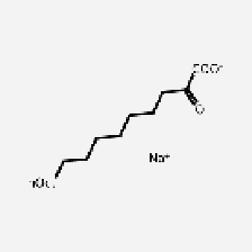 CCCCCCCCCCCCCCCC(=O)C(=O)[O-].[Na+]